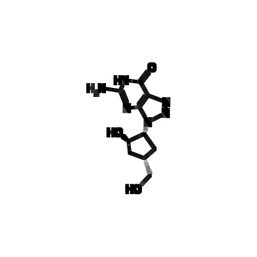 Nc1nc2c(nnn2[C@@H]2C[C@H](CO)C[C@H]2O)c(=O)[nH]1